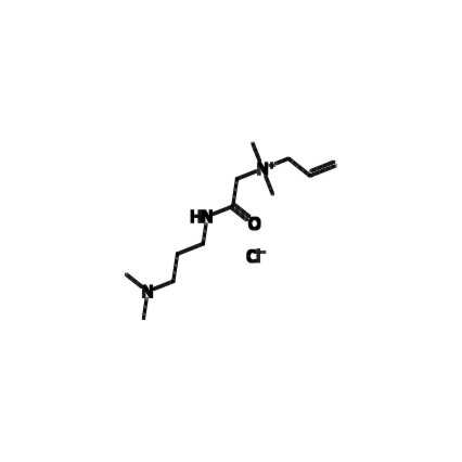 C=CC[N+](C)(C)CC(=O)NCCCN(C)C.[Cl-]